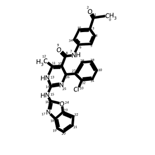 CC(=O)c1ccc(NC(=O)C2=C(C)NC(Nc3nc4ccccc4o3)=NC2c2ccccc2Cl)cc1